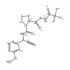 COc1cncc(C(C#N)NC(=O)C2CCCN2C(=O)CNC(=O)C(F)(F)F)c1